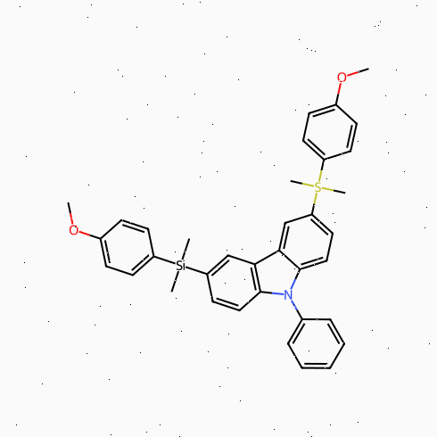 COc1ccc([Si](C)(C)c2ccc3c(c2)c2cc(S(C)(C)c4ccc(OC)cc4)ccc2n3-c2ccccc2)cc1